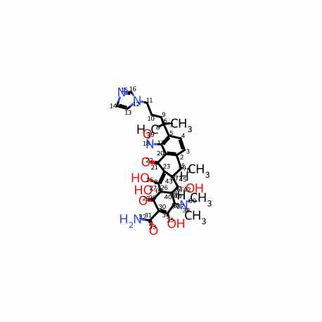 C[C@H]1c2ccc(C(C)(C)CCCn3ccnc3)c(N=O)c2C(=O)C2=C(O)[C@]3(O)C(=O)C(C(N)=O)=C(O)[C@@H](N(C)C)[C@@H]3[C@@H](O)[C@@H]21